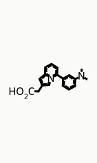 CN(C)c1cccc(-c2cccc3cc(CC(=O)O)cn23)c1